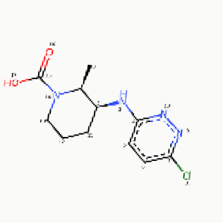 C[C@H]1[C@@H](Nc2ccc(Cl)nn2)CCCN1C(=O)O